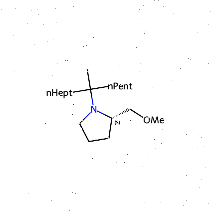 CCCCCCCC(C)(CCCCC)N1CCC[C@H]1COC